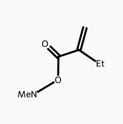 C=C(CC)C(=O)ONC